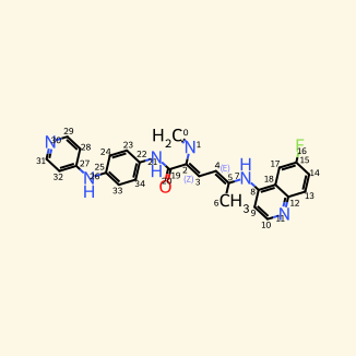 C=N/C(=C\C=C(/C)Nc1ccnc2ccc(F)cc12)C(=O)Nc1ccc(Nc2ccncc2)cc1